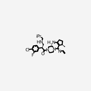 C=C/N=C(\C1=C(N)CC[C@H]1C)N1CCN(C(=O)[C@H](CNCC(C)C)c2ccc(Cl)c(F)c2)CC1